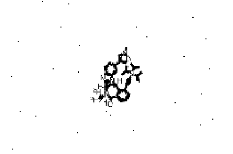 [2H]C([2H])([2H])N1C(=O)c2cccc(C#C[Si](C(C)C)(C(C)C)C(C)C)c2[C@H]2C[C@@H]1c1nc3ccc(-c4cnn(C)c4)cc3n12